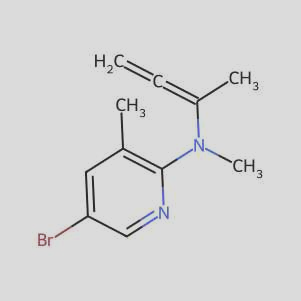 C=C=C(C)N(C)c1ncc(Br)cc1C